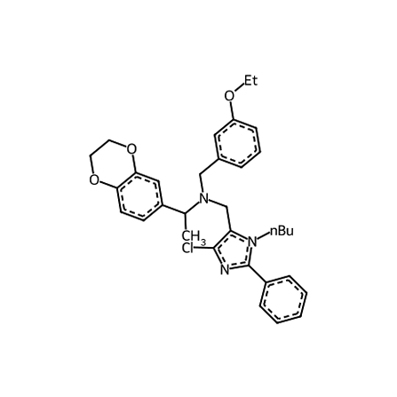 CCCCn1c(-c2ccccc2)nc(Cl)c1CN(Cc1cccc(OCC)c1)C(C)c1ccc2c(c1)OCCO2